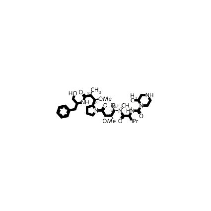 CC[C@H](C)[C@@H]([C@@H](CC(=O)N1CCCC1[C@H](OC)[C@@H](C)C(=O)NC(CO)Cc1ccccc1)OC)N(C)C(=O)C(NC(=O)N1CCNCC1C)C(C)C